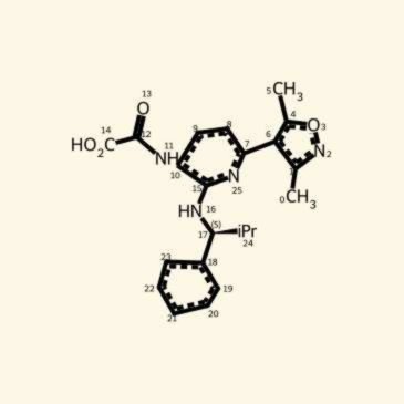 Cc1noc(C)c1-c1ccc(NC(=O)C(=O)O)c(N[C@H](c2ccccc2)C(C)C)n1